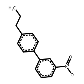 CCCc1ccc(-c2[c]ccc([N+](=O)[O-])c2)cc1